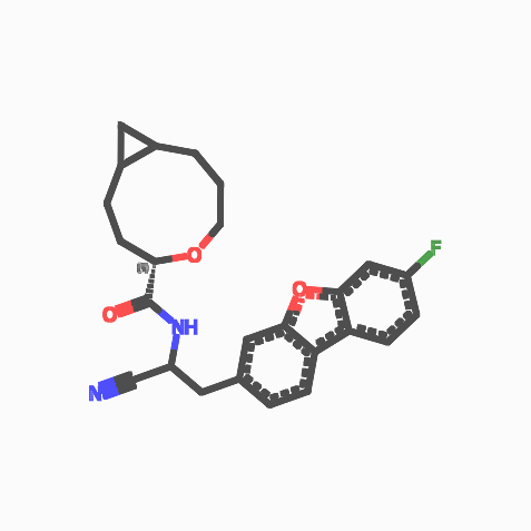 N#CC(Cc1ccc2c(c1)oc1cc(F)ccc12)NC(=O)[C@@H]1CCC2CC2CCCO1